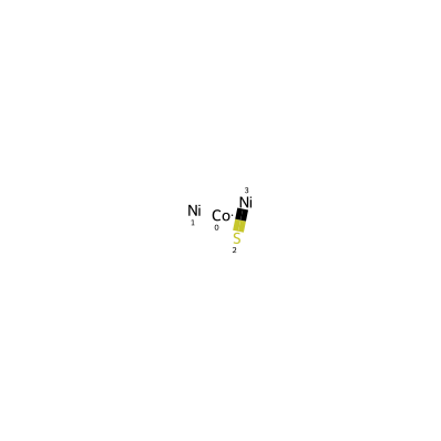 [Co].[Ni].[S]=[Ni]